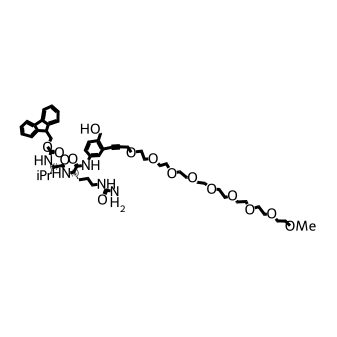 COCCOCCOCCOCCOCCOCCOCCOCCOCC#Cc1cc(NC(=O)[C@H](CCCNC(N)=O)NC(=O)[C@@H](NC(=O)OCC2c3ccccc3-c3ccccc32)C(C)C)ccc1CO